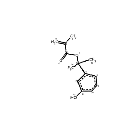 C=C(C)C(=O)OC(c1cccc(O)c1)(C(F)(F)F)C(F)(F)F